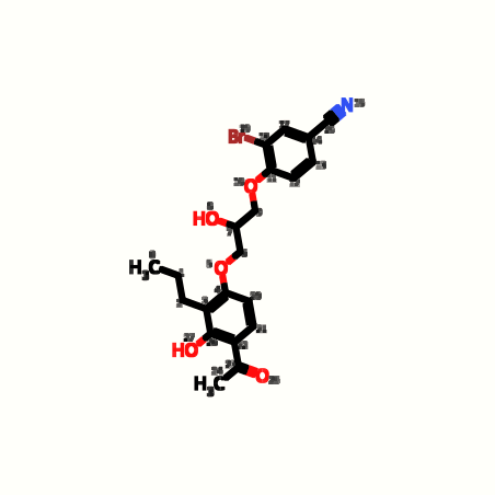 CCCc1c(OCC(O)COc2ccc(C#N)cc2Br)ccc(C(C)=O)c1O